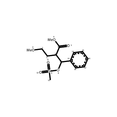 COCCC(C(=O)OC)C(OS(C)(=O)=O)c1ccccc1